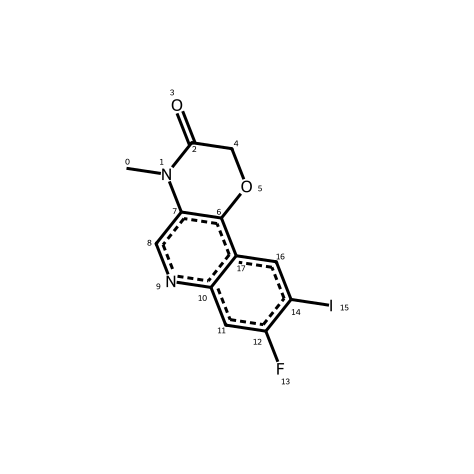 CN1C(=O)COc2c1cnc1cc(F)c(I)cc21